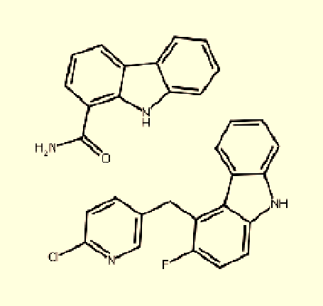 Fc1ccc2[nH]c3ccccc3c2c1Cc1ccc(Cl)nc1.NC(=O)c1cccc2c1[nH]c1ccccc12